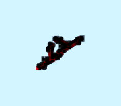 CCC(CC)COC(=O)CCCCCCC(O)CN(CCCC(=O)OCCN1CCN(CCSSCCCCN(CC(O)CCCCCCC(=O)OCCC(C)C)CC(O)CCCCCCC(=O)OCCC(C)C)CC1)CC(O)CCCCCCC(=O)OCC(CC)CC